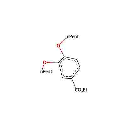 CCCCCOc1ccc(C(=O)OCC)cc1OCCCCC